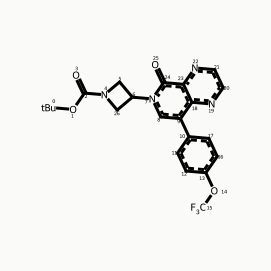 CC(C)(C)OC(=O)N1CC(n2cc(-c3ccc(OC(F)(F)F)cc3)c3nccnc3c2=O)C1